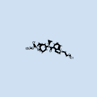 CCOCCn1ncc2c(C(=O)N(C3CC3)C3CCC4=NN(C(=O)OC(C)(C)C)C=C(C4)C3)cccc21